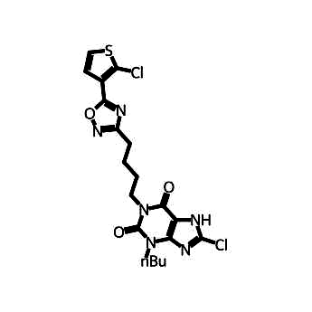 CCCCn1c(=O)n(CCCCc2noc(-c3ccsc3Cl)n2)c(=O)c2[nH]c(Cl)nc21